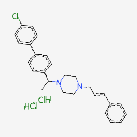 CC(c1ccc(-c2ccc(Cl)cc2)cc1)N1CCN(CC=Cc2ccccc2)CC1.Cl.Cl